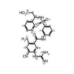 [C-]#[N+]c1nc(N)c(C(=O)Nc2cccc(S(=O)(=O)NC(CC(=O)O)c3cccnc3)c2)nc1NC(=N)N